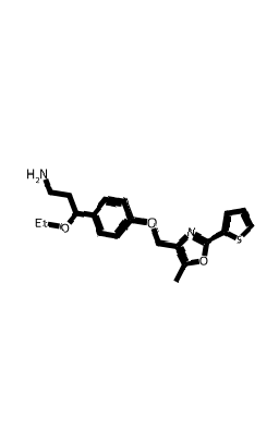 CCOC(CCN)c1ccc(OCc2nc(-c3cccs3)oc2C)cc1